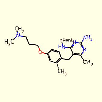 CCCCCNc1nc(N)nc(C)c1Cc1ccc(OCCCN(C)C)cc1C